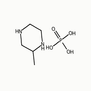 CC1CNCCN1.O=P(O)(O)O